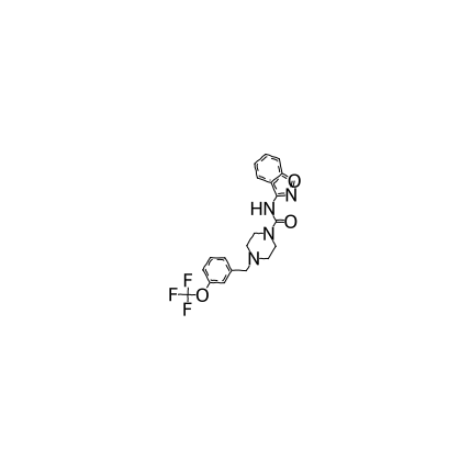 O=C(Nc1noc2ccccc12)N1CCN(Cc2cccc(OC(F)(F)F)c2)CC1